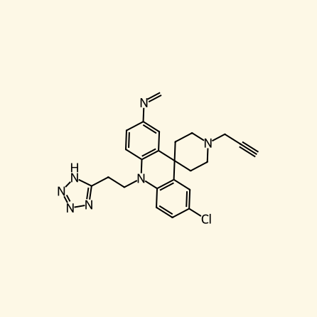 C#CCN1CCC2(CC1)c1cc(Cl)ccc1N(CCc1nnn[nH]1)c1ccc(N=C)cc12